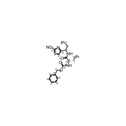 CC(C)CC(NC(=O)[C@H](CC(C)C)NC(=O)OCc1ccccc1)c1csc(C#N)n1